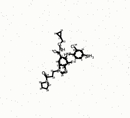 Bc1ccc(Nc2c(C(=O)NOCC3CC3)cc3c(ncn3CCC(=O)N3CCCC3)c2F)c(Cl)c1